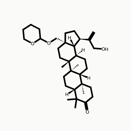 C=C(CO)[C@@H]1CC[C@]2(COC3CCCCO3)CC[C@]3(C)[C@H](CC[C@@H]4[C@@]5(C)CCC(=O)C(C)(C)[C@@H]5CC[C@]43C)[C@@H]12